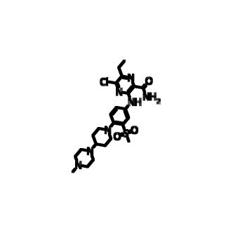 CCc1nc(C(N)=O)c(Nc2ccc(N3CCC(N4CCN(C)CC4)CC3)c(S(C)(=O)=O)c2)nc1Cl